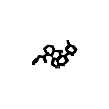 Cc1ccnc(-c2cnc3[nH]ccc3c2N[C@@H]2CCCN(C(=O)CC#N)C2)c1